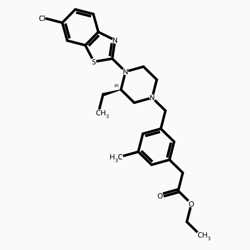 CCOC(=O)Cc1cc(C)cc(CN2CCN(c3nc4ccc(Cl)cc4s3)[C@H](CC)C2)c1